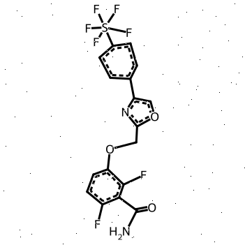 NC(=O)c1c(F)ccc(OCc2nc(-c3ccc(S(F)(F)(F)(F)F)cc3)co2)c1F